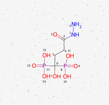 NNC(=O)CCC(O)(P(=O)(O)O)P(=O)(O)O